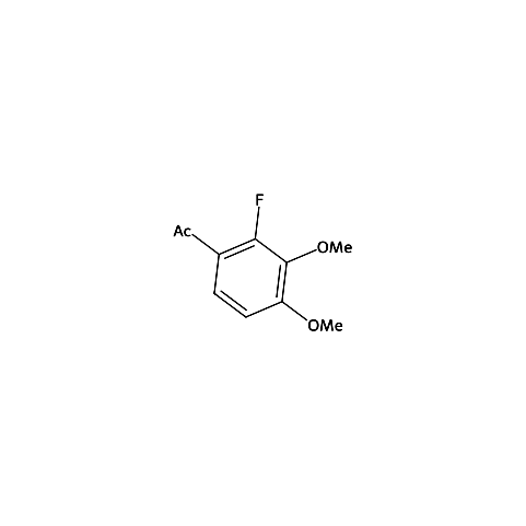 COc1ccc(C(C)=O)c(F)c1OC